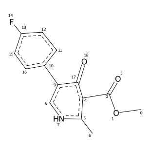 COC(=O)c1c(C)[nH]cc(-c2ccc(F)cc2)c1=O